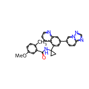 COc1ccc(C)c(C(=O)NC2(c3cc(-c4ccc5ncnn5c4)cc4ncccc34)CC2)c1